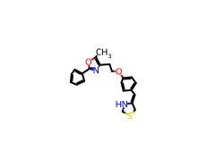 Cc1oc(-c2ccccc2)nc1CCOc1ccc(C=C2CSCN2)cc1